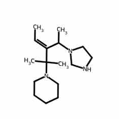 CC=C(C(C)N1CCNC1)C(C)(C)N1CCCCC1